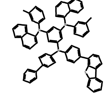 Cc1cccc(N(c2cc(N(c3ccc(-c4ccccc4)cc3)c3ccc(-c4cccc5c4sc4ccccc45)cc3)cc(N(c3cccc(C)c3)c3cccc4ccccc34)c2)c2cccc3ccccc23)c1